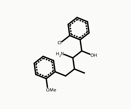 COc1ccccc1CC(C)C(N)C(O)c1ccccc1Cl